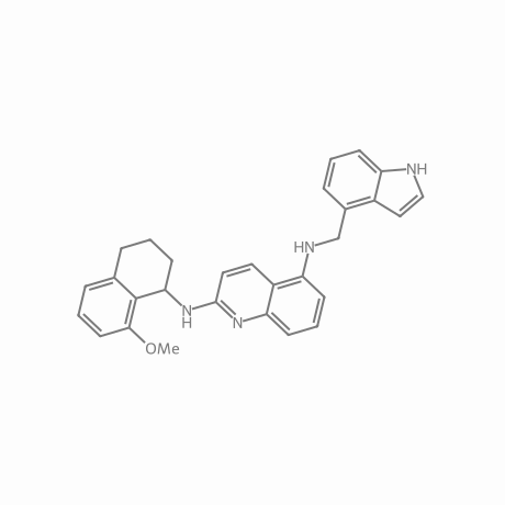 COc1cccc2c1C(Nc1ccc3c(NCc4cccc5[nH]ccc45)cccc3n1)CCC2